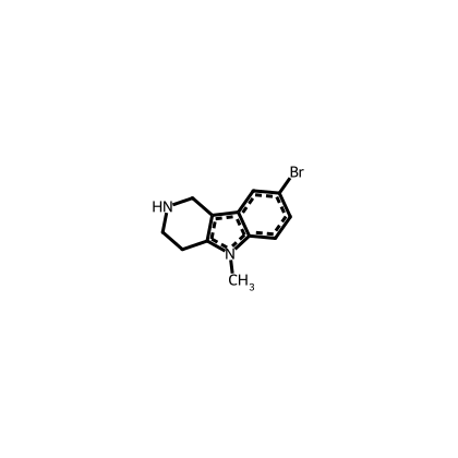 Cn1c2c(c3cc(Br)ccc31)CNCC2